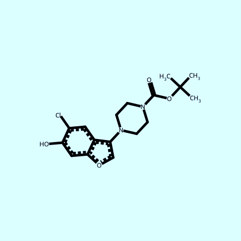 CC(C)(C)OC(=O)N1CCN(c2coc3cc(O)c(Cl)cc23)CC1